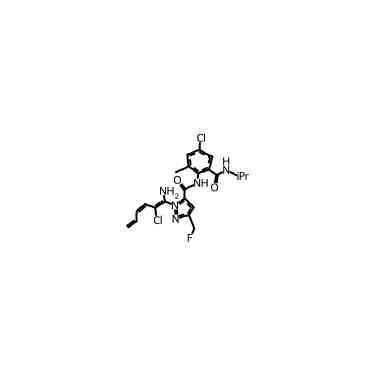 C=C/C=C\C(Cl)=C(/N)n1nc(CF)cc1C(=O)Nc1c(C)cc(Cl)cc1C(=O)NC(C)C